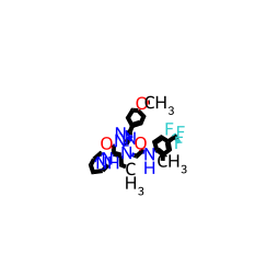 CCc1c(N2CC3CCC(C2)N3)c(=O)n2nc(C3=CCC(OC)CC3)nc2n1CC(=O)Nc1ccc(C(F)(F)F)cc1C